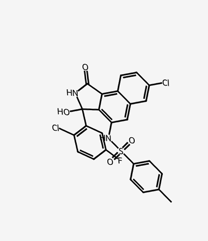 Cc1ccc(S(=O)(=O)Nc2cc3cc(Cl)ccc3c3c2C(O)(c2cc(F)ccc2Cl)NC3=O)cc1